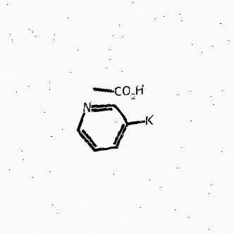 CC(=O)O.[K][c]1cccnc1